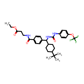 CCOC(=O)CCNC(=O)c1ccc(C(NC(=O)Nc2ccc(OC(F)(F)F)cc2)C2CCC(C(C)(C)C)CC2)cc1